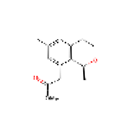 COC(=O)Cc1cc(C)cc2c1[C@H](C)OCC2